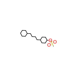 CS(=O)(=O)OC1CCC(CCCCC2CCCCC2)CC1